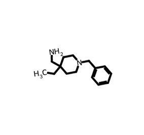 CCC1(CN)CCN(Cc2ccccc2)CC1